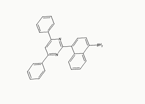 Bc1ccc(-c2nc(-c3ccccc3)cc(-c3ccccc3)n2)c2ccccc12